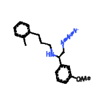 COc1cccc([C@H](CN=[N+]=[N-])NCCCc2ccccc2C)c1